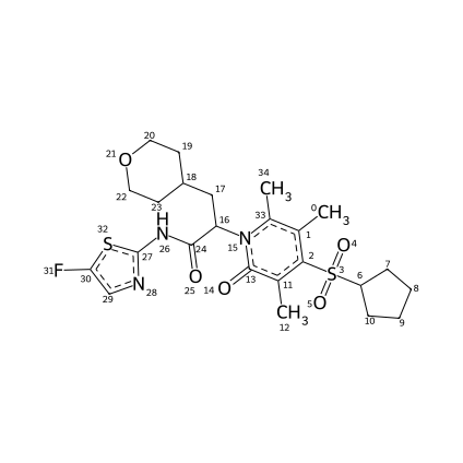 Cc1c(S(=O)(=O)C2CCCC2)c(C)c(=O)n(C(CC2CCOCC2)C(=O)Nc2ncc(F)s2)c1C